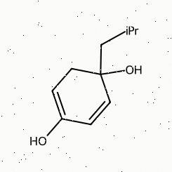 CC(C)CC1(O)C=CC(O)=CC1